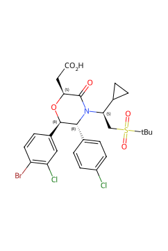 CC(C)(C)S(=O)(=O)C[C@H](C1CC1)N1C(=O)[C@H](CC(=O)O)O[C@H](c2ccc(Br)c(Cl)c2)[C@H]1c1ccc(Cl)cc1